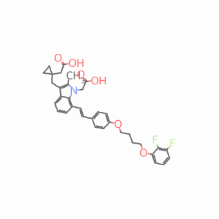 Cc1c(CC2(CC(=O)O)CC2)c2cccc(/C=C/c3ccc(OCCCCOc4cccc(F)c4F)cc3)c2n1CC(=O)O